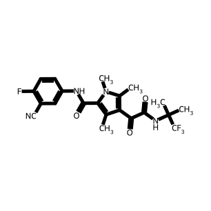 Cc1c(C(=O)C(=O)NC(C)(C)C(F)(F)F)c(C)n(C)c1C(=O)Nc1ccc(F)c(C#N)c1